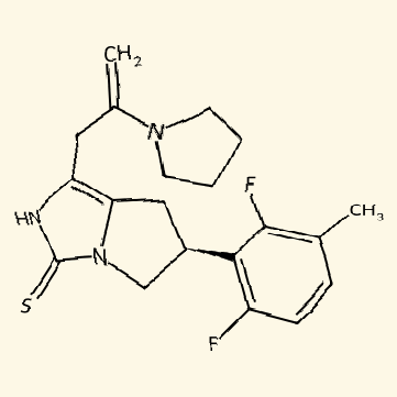 C=C(Cc1[nH]c(=S)n2c1C[C@@H](c1c(F)ccc(C)c1F)C2)N1CCCC1